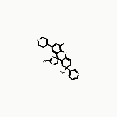 CC1(c2cccnc2)C=C2C(=CC1)Oc1c(F)cc(C3=CCOCC3)cc1[C@]21COC(N)=N1